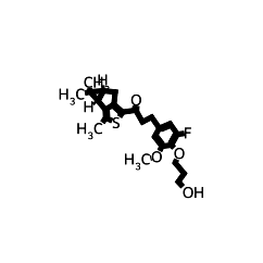 COc1cc(CCC(=O)c2sc(C)c3c2C[C@@H]2[C@H]3C2(C)C)cc(F)c1OCCCO